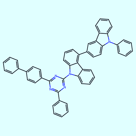 c1ccc(-c2ccc(-c3nc(-c4ccccc4)nc(-n4c5ccccc5c5c(-c6ccc7c(c6)c6ccccc6n7-c6ccccc6)cccc54)n3)cc2)cc1